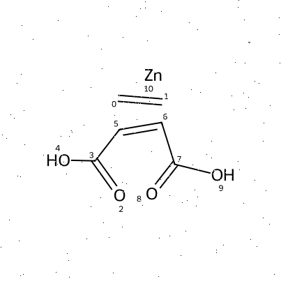 C=C.O=C(O)/C=C\C(=O)O.[Zn]